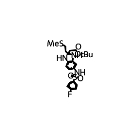 CSCCC1(CC(=O)OC(C)(C)C)Nc2ccc(NS(=O)(=O)c3ccc(F)cc3)cc2N1